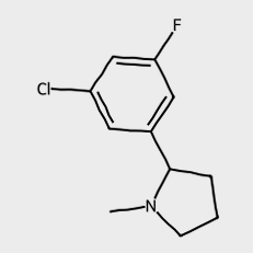 CN1CCCC1c1cc(F)cc(Cl)c1